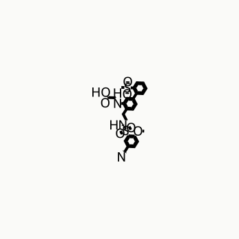 COc1ccc(C#N)cc1S(=O)(=O)NCCc1ccc(-c2ccccc2S(C)(=O)=O)cc1NCC(=O)O